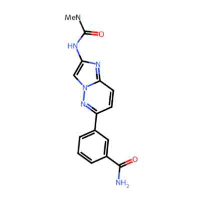 CNC(=O)Nc1cn2nc(-c3cccc(C(N)=O)c3)ccc2n1